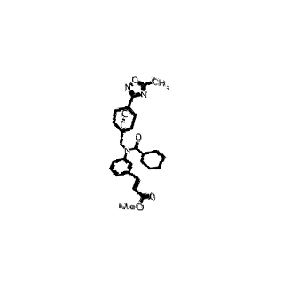 COC(=O)/C=C/c1cccc(N(CC23CCC(c4noc(C)n4)(CC2)CC3)C(=O)C2CCCCC2)c1